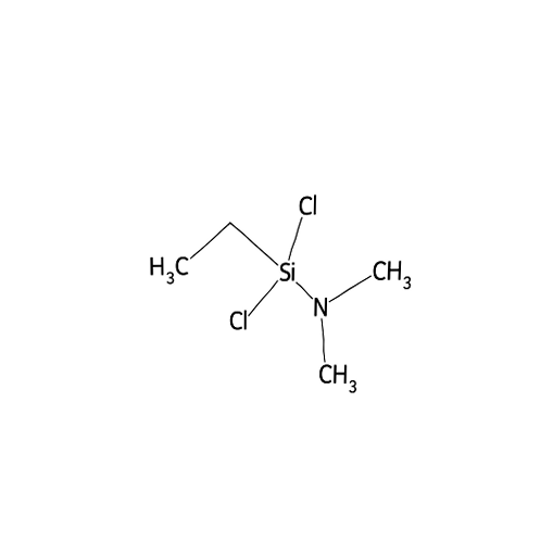 CC[Si](Cl)(Cl)N(C)C